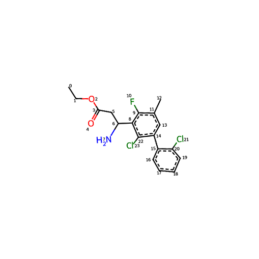 CCOC(=O)CC(N)c1c(F)c(C)cc(-c2ccccc2Cl)c1Cl